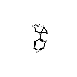 CC(=O)NCC1(c2ccn[c]n2)CC1